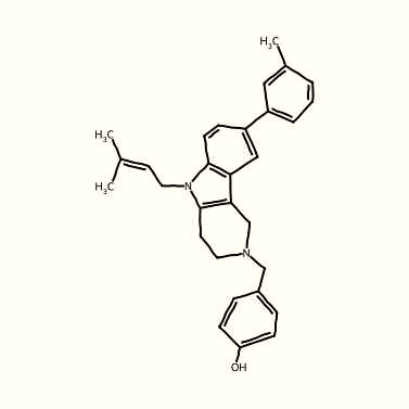 CC(C)=CCn1c2c(c3cc(-c4cccc(C)c4)ccc31)CN(Cc1ccc(O)cc1)CC2